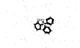 O=P(c1ccccc1)(c1ccccc1)C1CCCCC1O